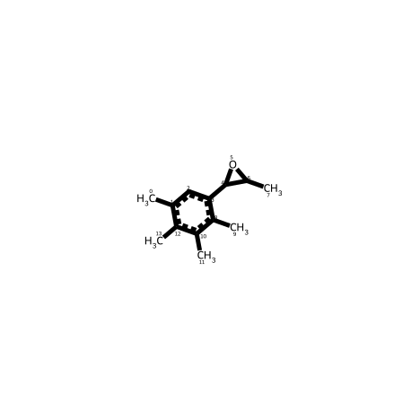 Cc1cc(C2OC2C)c(C)c(C)c1C